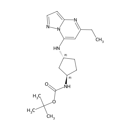 CCc1cc(N[C@@H]2CC[C@@H](NC(=O)OC(C)(C)C)C2)n2nccc2n1